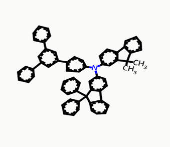 CC1(C)c2ccccc2-c2ccc(N(c3ccc(-c4cc(-c5ccccc5)cc(-c5ccccc5)c4)cc3)c3ccc4c(c3)C(c3ccccc3)(c3ccccc3)c3ccccc3-4)cc21